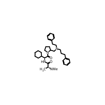 CN[C@@H](C)C(=O)N[C@H](C(=O)N1CCCC1CN(CCCc1ccccc1)CCc1ccccc1)C1CCCCC1